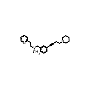 CN(CCc1ccccn1)Cc1cccc(C#CCCN2CCCCC2)c1